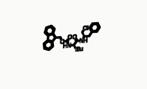 CCC(C)[C@@H](NC(=O)OCC1c2ccccc2-c2ccccc21)C(=O)N[C@@H](CO)Cc1ccccc1